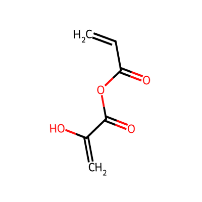 C=CC(=O)OC(=O)C(=C)O